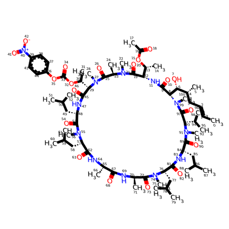 CC=CC[C@@H](C)[C@@H](O)[C@H]1C(=O)N[C@@H]([C@@H](C)OC(C)=O)C(=O)N(C)[C@H](C)C(=O)N(C)[C@@H](C(C)OC(=O)Oc2ccc([N+](=O)[O-])cc2)C(=O)N[C@@H](CC(C)C)C(=O)N(C)[C@@H](CC(C)C)C(=O)N[C@@H](C)C(=O)N[C@H](C)C(=O)N(C)[C@@H](CC(C)C)C(=O)N[C@@H](CC(C)C)C(=O)N(C)[C@@H](C(C)C)C(=O)N1C